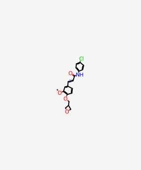 COc1cc(/C=C/C(=O)Nc2ccc(Cl)cc2)ccc1OCC1COC1